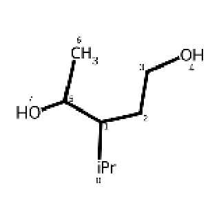 CC(C)C(CCO)C(C)O